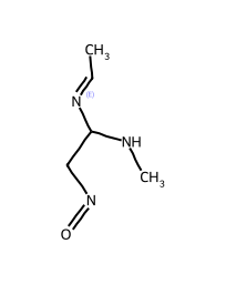 C/C=N/C(CN=O)NC